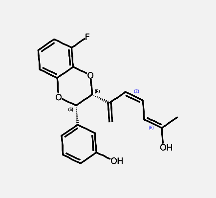 C=C(/C=C\C=C(/C)O)[C@H]1Oc2c(F)cccc2O[C@H]1c1cccc(O)c1